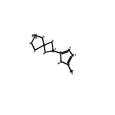 Brc1nnc(N2CC3(CCNC3)C2)s1